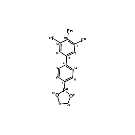 Fc1cc(-c2ccc(P3OCCO3)cc2)cc(F)c1F